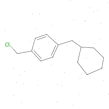 ClCc1ccc(CC2CCCCC2)cc1